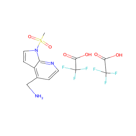 CS(=O)(=O)n1ccc2c(CN)ccnc21.O=C(O)C(F)(F)F.O=C(O)C(F)(F)F